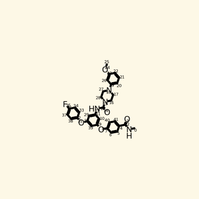 CNC(=O)c1ccc(Oc2cc(NC(=O)N3CCN(c4cccc(OC)c4)CC3)cc(Oc3ccc(F)cc3)c2)cc1